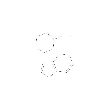 C1=Cc2sccc2SC1.O=CN1CCNCC1